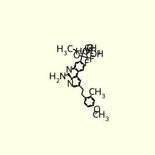 CCOC(CC)(c1ccc2c(c1)nc(N)c1ncc(CCc3ccc(OC)cc3C)cc12)C(F)(F)P(=O)(O)O